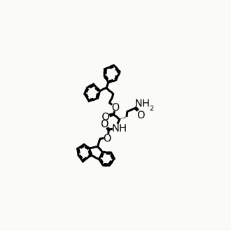 NC(=O)CC[C@H](NC(=O)OCC1c2ccccc2-c2ccccc21)C(=O)OCCC(c1ccccc1)c1ccccc1